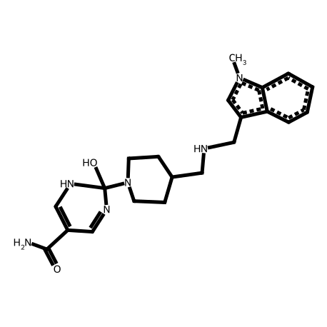 Cn1cc(CNCC2CCN(C3(O)N=CC(C(N)=O)=CN3)CC2)c2ccccc21